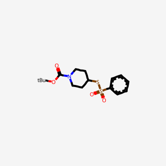 CC(C)(C)OC(=O)N1CCC(SS(=O)(=O)c2ccccc2)CC1